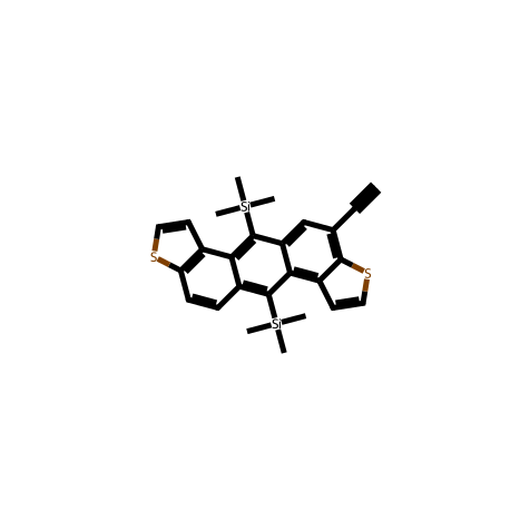 C#Cc1cc2c([Si](C)(C)C)c3c(ccc4sccc43)c([Si](C)(C)C)c2c2ccsc12